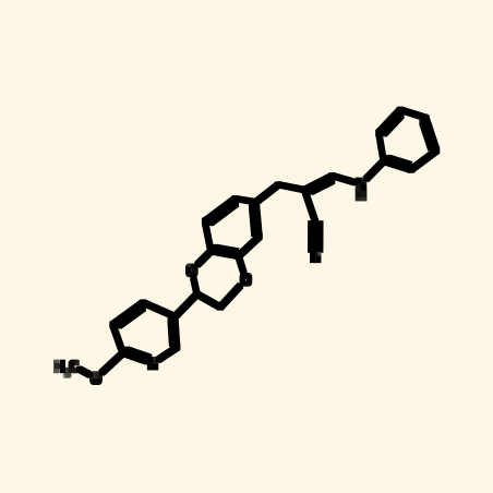 COc1ccc(C2COc3cc(C/C(C#N)=C/Nc4ccccc4)ccc3O2)cn1